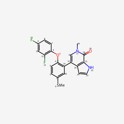 CSc1ccc(Oc2ccc(F)cc2F)c(-c2cn(C)c(=O)c3[nH]ccc23)c1